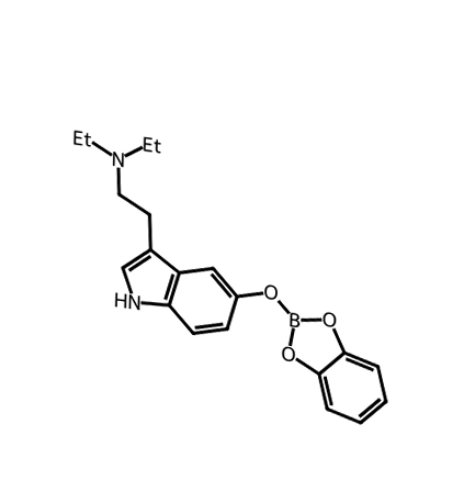 CCN(CC)CCc1c[nH]c2ccc(OB3Oc4ccccc4O3)cc12